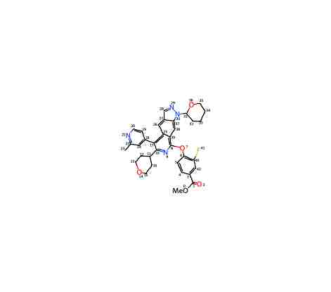 COC(=O)c1ccc(Oc2nc(C3CCOCC3)c(-c3ccnc(C)c3)c3cc4cnn(C5CCCCO5)c4cc23)c(F)c1